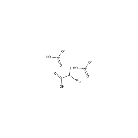 CC(N)C(=O)O.O=[N+]([O-])O.O=[N+]([O-])O